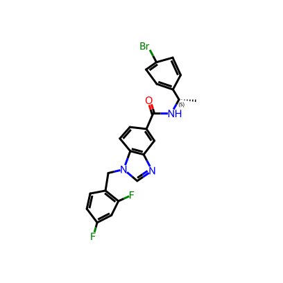 C[C@H](NC(=O)c1ccc2c(c1)ncn2Cc1ccc(F)cc1F)c1ccc(Br)cc1